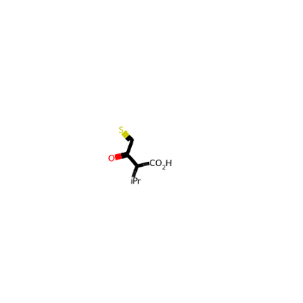 CC(C)C(C(=O)O)C(=O)C=S